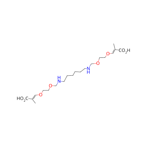 CC(=COCCOCNCCCCCCNCOCCOC=C(C)C(=O)O)C(=O)O